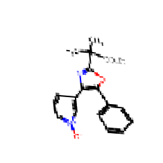 CCOC(=O)C(C)(C)c1nc(-c2ccc[n+]([O-])c2)c(-c2ccccc2)o1